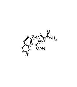 COCc1nc(C(N)=O)cn1Cc1ccc2c(c1)CN(C)CC2